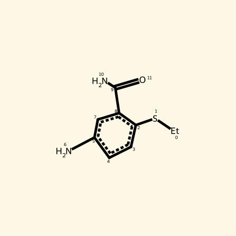 CCSc1ccc(N)cc1C(N)=O